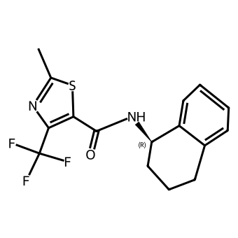 Cc1nc(C(F)(F)F)c(C(=O)N[C@@H]2CCCc3ccccc32)s1